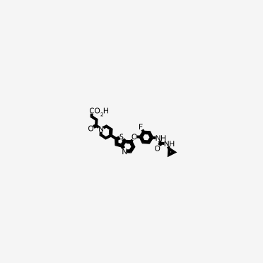 O=C(O)CCC(=O)N1CC=C(c2cc3nccc(Oc4ccc(NC(=O)NC5CC5)cc4F)c3s2)CC1